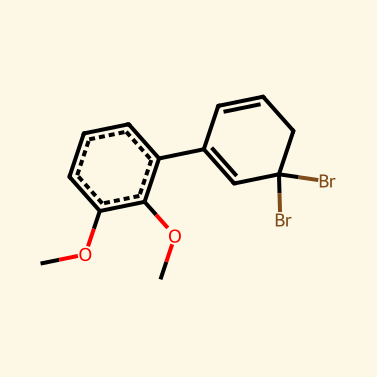 COc1cccc(C2=CC(Br)(Br)CC=C2)c1OC